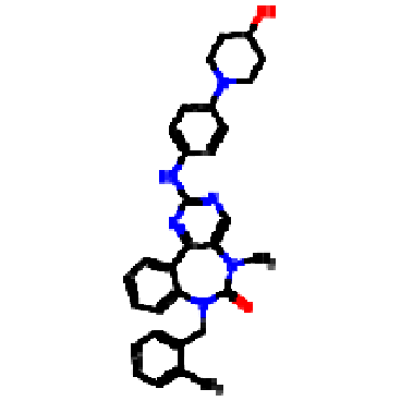 Cc1ccccc1CN1C(=O)N(C)c2cnc(Nc3ccc(N4CCC(O)CC4)cc3)nc2-c2ccccc21